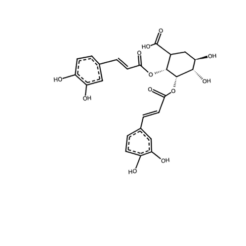 O=C(/C=C/c1ccc(O)c(O)c1)O[C@H]1[C@@H](O)[C@H](O)CC(C(=O)O)[C@H]1OC(=O)/C=C/c1ccc(O)c(O)c1